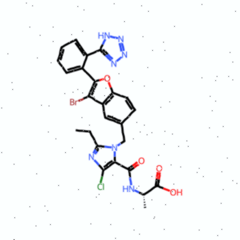 CCc1nc(Cl)c(C(=O)N[C@@H](C)C(=O)O)n1Cc1ccc2oc(-c3ccccc3-c3nnn[nH]3)c(Br)c2c1